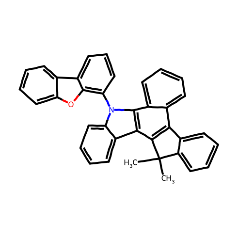 CC1(C)c2ccccc2-c2c1c1c3ccccc3n(-c3cccc4c3oc3ccccc34)c1c1ccccc21